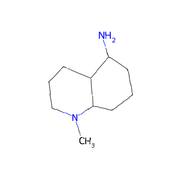 CN1CCCC2C(N)CCCC21